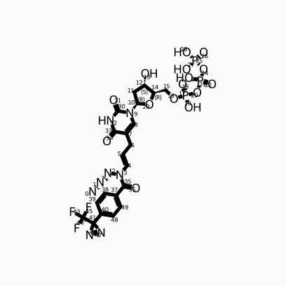 [N-]=[N+]=NN(C=CCc1cn([C@H]2C[C@H](O)[C@@H](COP(=O)(O)OP(=O)(O)OP(=O)(O)O)O2)c(=O)[nH]c1=O)C(=O)c1ccc(C2(C(F)(F)F)N=N2)cc1